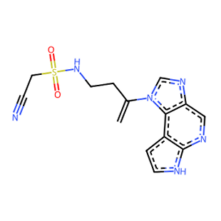 C=C(CCNS(=O)(=O)CC#N)n1cnc2cnc3[nH]ccc3c21